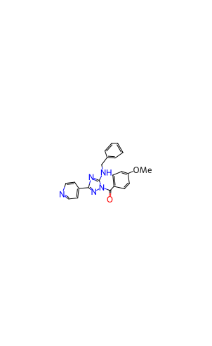 COc1ccc(C(=O)n2nc(-c3ccncc3)nc2NCc2ccccc2)cc1